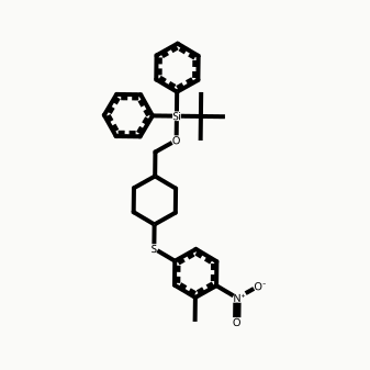 Cc1cc(SC2CCC(CO[Si](c3ccccc3)(c3ccccc3)C(C)(C)C)CC2)ccc1[N+](=O)[O-]